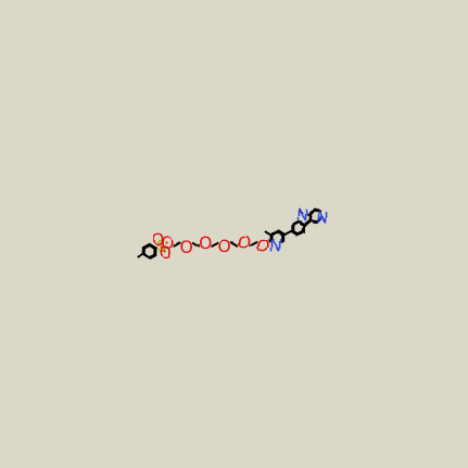 Cc1ccc(S(=O)(=O)OCCOCCOCCOCCOCCOc2ncc(-c3ccc4c5cnccc5n(C)c4c3)cc2C)cc1